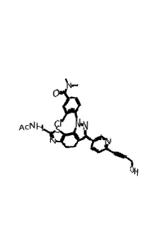 CC(=O)Nc1nc2c(s1)-c1c(c(-c3ccc(C#CCO)nc3)nn1-c1ccc(C(=O)N(C)C)cc1Cl)CC2